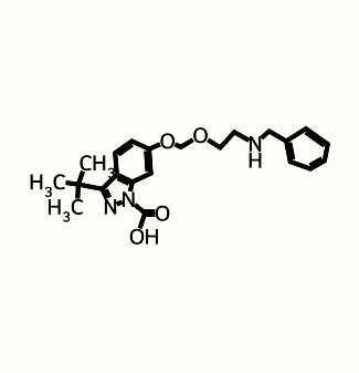 CC(C)(C)c1nn(C(=O)O)c2cc(OCOCCNCc3ccccc3)ccc12